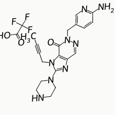 CC#CCn1c(N2CCNCC2)nc2cnn(Cc3ccc(N)nc3)c(=O)c21.O=C(O)C(F)(F)F